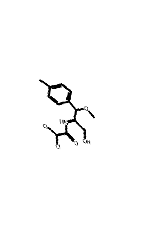 COC(c1ccc(C)cc1)C(CO)NC(=O)C(Cl)Cl